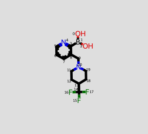 OB(O)c1ncccc1CN1CCC(C(F)(F)F)CC1